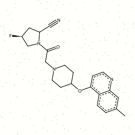 Cc1ccc2c(OC3CCN(CC(=O)N4C[C@@H](F)CC4C#N)CC3)ccnc2c1